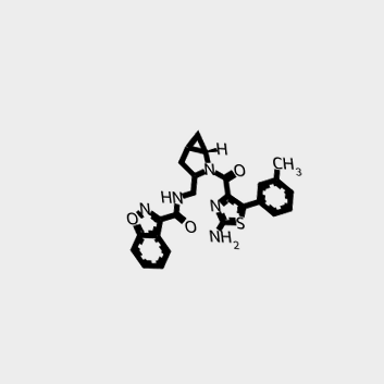 Cc1cccc(-c2sc(N)nc2C(=O)N2C(CNC(=O)c3noc4ccccc34)CC3C[C@@H]32)c1